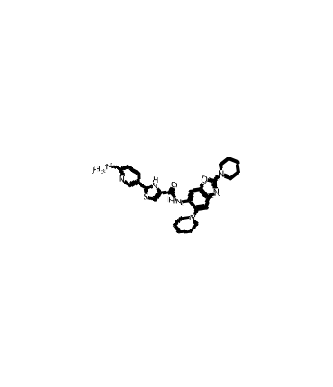 Nc1ccc(C2NC(C(=O)Nc3cc4oc(N5CCCCC5)nc4cc3N3CCCCC3)=CS2)cn1